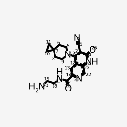 N#Cc1c(N2CCC3(CC2)CC3)c2cc(C(=O)NCCN)ncc2[nH]c1=O